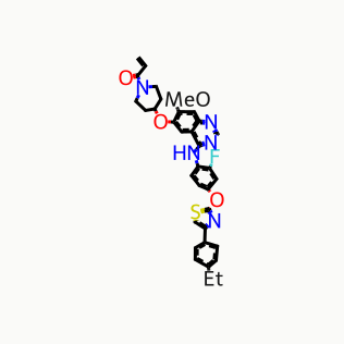 C=CC(=O)N1CCC(Oc2cc3c(Nc4ccc(Oc5nc(-c6ccc(CC)cc6)cs5)cc4F)ncnc3cc2OC)CC1